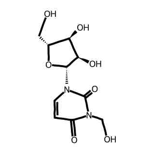 O=c1ccn([C@@H]2O[C@H](CO)[C@@H](O)[C@H]2O)c(=O)n1CO